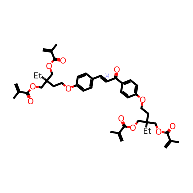 C=C(C)C(=O)OCC(CC)(CCOc1ccc(/C=C/C(=O)c2ccc(OCCC(CC)(COC(=O)C(=C)C)COC(=O)C(=C)C)cc2)cc1)COC(=O)C(=C)C